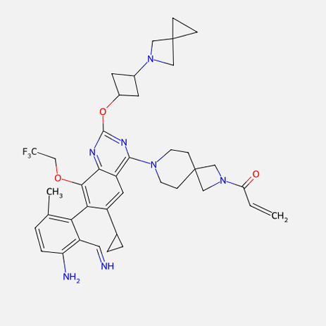 C=CC(=O)N1CC2(CCN(c3nc(OC4CC(N5CC6(CC6)C5)C4)nc4c(OCC(F)(F)F)c(-c5c(C)ccc(N)c5C=N)c(C5CC5)cc34)CC2)C1